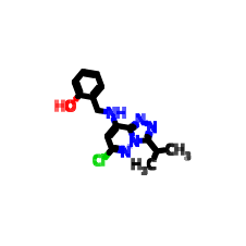 CC(C)c1nnc2c(NCc3ccccc3O)cc(Cl)nn12